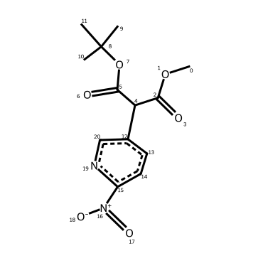 COC(=O)C(C(=O)OC(C)(C)C)c1ccc([N+](=O)[O-])nc1